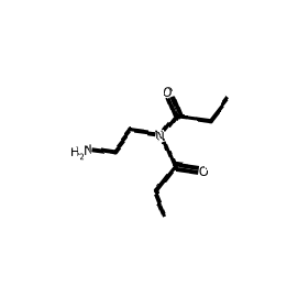 CCC(=O)N(CCN)C(=O)CC